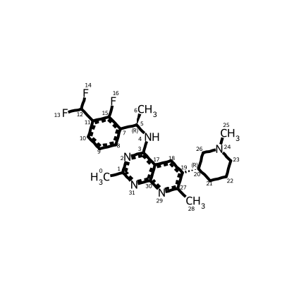 Cc1nc(N[C@H](C)c2cccc(C(F)F)c2F)c2cc([C@H]3CCCN(C)C3)c(C)nc2n1